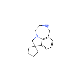 c1cc2c3c(c1)C1(CCCC1)CN3CCNC2